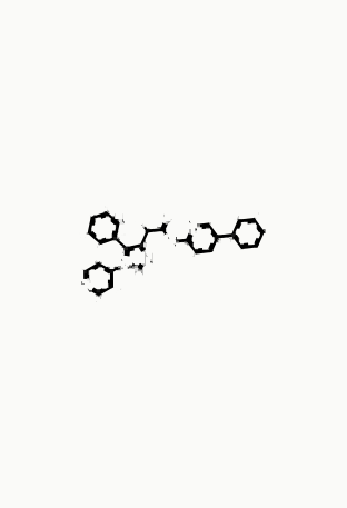 CC(C(=O)Nc1ccc(-c2ccccc2)cn1)c1nnn(-c2ccncc2)c1-c1ccccc1